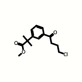 COC(=O)C(C)(C)c1cccc(C(=O)CCCCl)c1